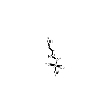 O=S(=O)(O)ONCCO